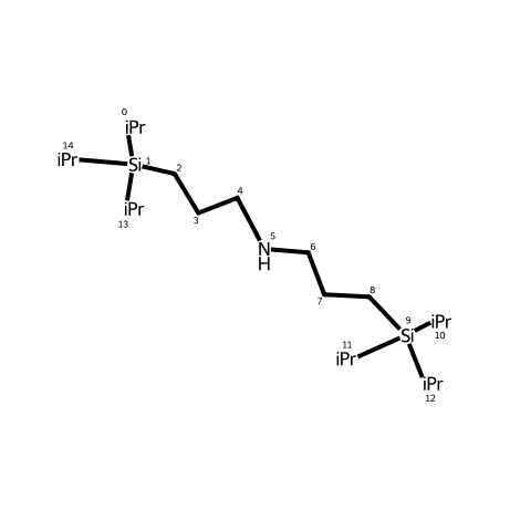 CC(C)[Si](CCCNCCC[Si](C(C)C)(C(C)C)C(C)C)(C(C)C)C(C)C